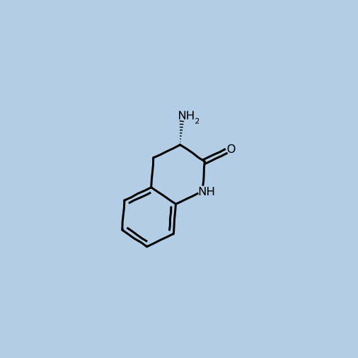 N[C@H]1Cc2ccccc2NC1=O